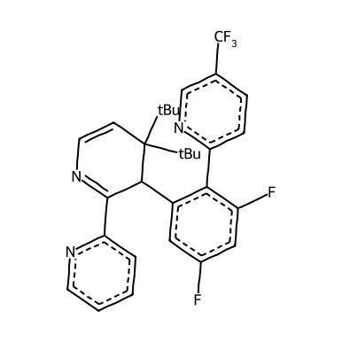 CC(C)(C)C1(C(C)(C)C)C=CN=C(c2ccccn2)C1c1cc(F)cc(F)c1-c1ccc(C(F)(F)F)cn1